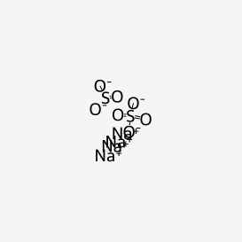 O=S(=O)([O-])[O-].O=S([O-])[O-].[Na+].[Na+].[Na+].[Na+]